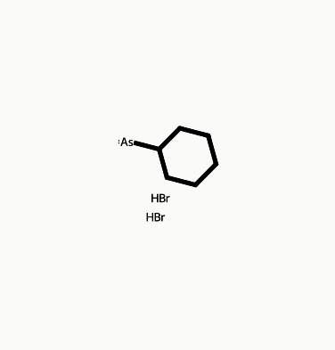 Br.Br.[As]C1CCCCC1